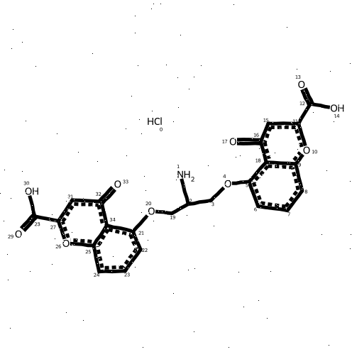 Cl.NC(COc1cccc2oc(C(=O)O)cc(=O)c12)COc1cccc2oc(C(=O)O)cc(=O)c12